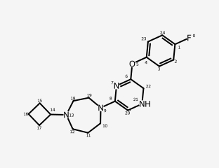 Fc1ccc(OC2=NC(N3CCCN(C4CCC4)CC3)=[C]NC2)cc1